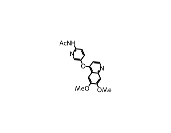 COc1cc2nccc(Oc3ccc(NC(C)=O)nc3)c2cc1OC